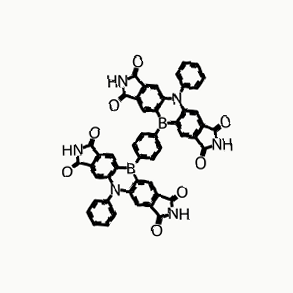 O=C1NC(=O)c2cc3c(cc21)B(c1ccc(B2c4cc5c(cc4N(c4ccccc4)c4cc6c(cc42)C(=O)NC6=O)C(=O)NC5=O)cc1)c1cc2c(cc1N3c1ccccc1)C(=O)NC2=O